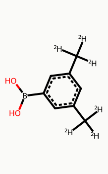 [2H]C([2H])([2H])c1cc(B(O)O)cc(C([2H])([2H])[2H])c1